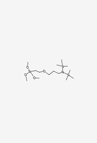 CO[Si](CCOCCCN([Si](C)(C)C)[Si](C)(C)C)(OC)OC